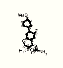 COc1ccc(-c2cc3c(cc2F)C(OC(N)=O)C(C)(C)CO3)cc1